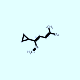 C=N/C(=C\C=C(/C)C(C)=O)C1CC1